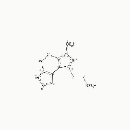 O=C(O)CCn1nc(C(=O)O)c2c1-c1cn[nH]c1CC2